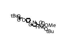 COC(=O)[C@H](COC(C)(C)C)NC(=O)c1ccc(Oc2cccc(OCC(=O)OC(C)(C)C)c2)nc1